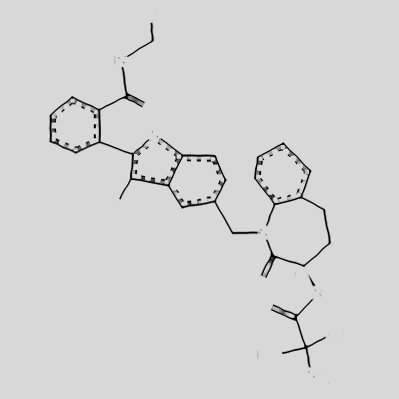 CCNC(=O)c1ccccc1-c1[nH]c2ccc(CN3C(=O)[C@H](NC(=O)C(C)(C)N)CCc4ccccc43)cc2c1Br